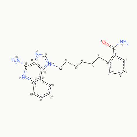 NC(=O)c1ccccc1CCCCCCn1cnc2c(N)nc3ccccc3c21